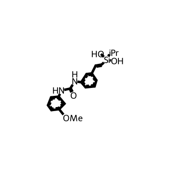 COc1cccc(NC(=O)Nc2cccc(C=C[Si](O)(O)C(C)C)c2)c1